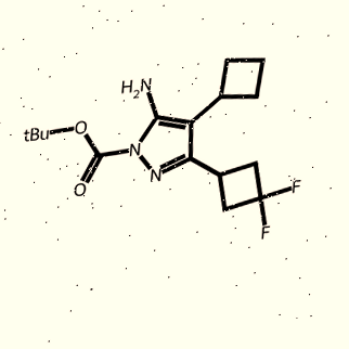 CC(C)(C)OC(=O)n1nc(C2CC(F)(F)C2)c(C2CCC2)c1N